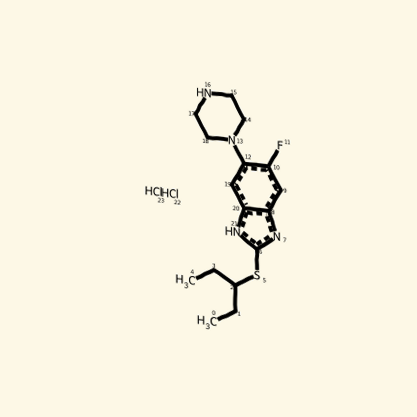 CCC(CC)Sc1nc2cc(F)c(N3CCNCC3)cc2[nH]1.Cl.Cl